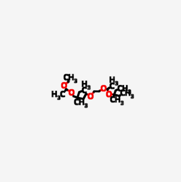 CCOC(C)OCC(C)(CC)CCOCCOC(C)OC(C)(CC)CC